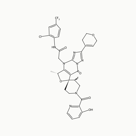 C[C@H]1O[C@]2(CCN(C(=O)c3ncccc3O)C[C@@H]2F)c2c1n(CC(=O)Nc1ccc(C(F)(F)F)cc1Cl)c1nc(C3=CCOCC3)nn1c2=O